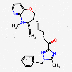 C=C=C1[C@@H](/C=C/CCC(=O)c2nc(C)n(Cc3ccccc3)n2)COc2cccnc2N1C